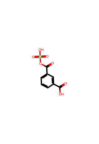 O=C(O)c1cccc(C(=O)OS(=O)(=O)O)c1